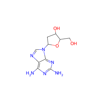 Nc1nc(N)c2ncn(C3CC(O)C(CO)O3)c2n1